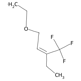 [CH2]COCC=C(CC)C(F)(F)F